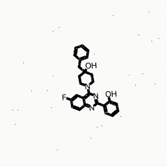 Oc1ccccc1-c1nc(N2CCC(O)(Cc3ccccc3)CC2)c2cc(F)ccc2n1